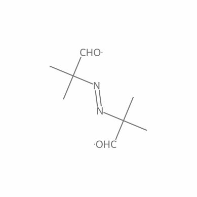 CC(C)([C]=O)/N=N/C(C)(C)[C]=O